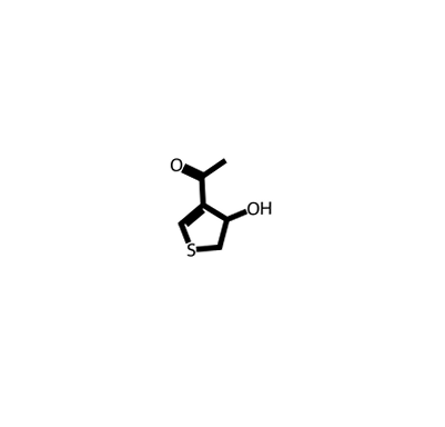 CC(=O)C1=CSCC1O